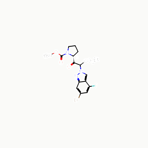 CCOC(=O)C(C(=O)[C@@H]1CCCN1C(=O)OC(C)(C)C)n1cc2c(F)cc(Br)cc2n1